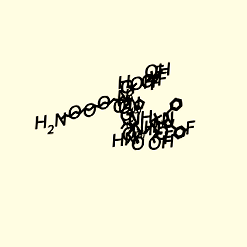 CNC(=O)[C@H](CCN(C(=O)CO)[C@@H](c1cc(-c2cc(F)ccc2F)cn1Cc1ccccc1)C(C)(C)C)NC(=O)[C@@H](NC(=O)[C@@H]1CCCN1C(=O)[C@H](CC(=O)O)NC(=O)CCOCCOCCOCCN)C(C)C.O=C(O)C(F)(F)F